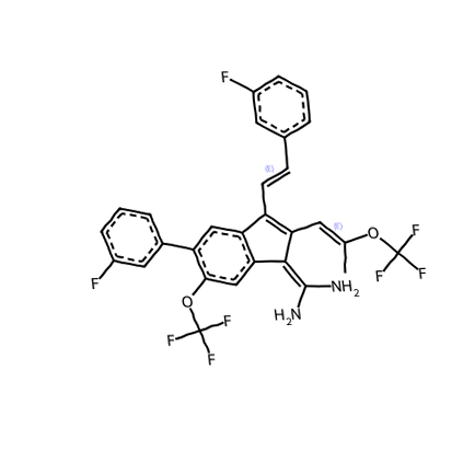 C/C(=C\C1=C(/C=C/c2cccc(F)c2)c2cc(-c3cccc(F)c3)c(OC(F)(F)F)cc2C1=C(N)N)OC(F)(F)F